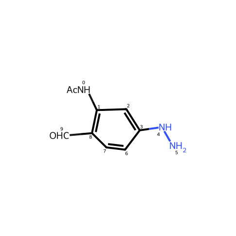 CC(=O)Nc1cc(NN)ccc1C=O